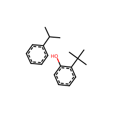 CC(C)(C)c1ccccc1O.CC(C)c1ccccc1